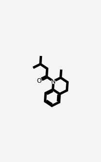 CC(C)CC(=O)N1c2ccccc2CCC1C